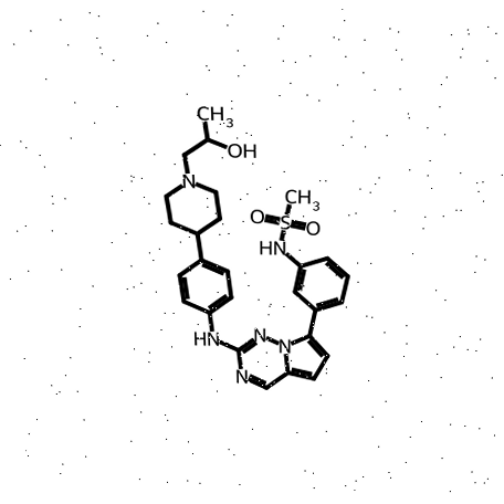 CC(O)CN1CCC(c2ccc(Nc3ncc4ccc(-c5cccc(NS(C)(=O)=O)c5)n4n3)cc2)CC1